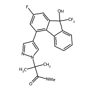 CNC(=O)C(C)(C)n1cc(-c2cc(F)cc3c2-c2ccccc2C3(O)C(F)(F)F)cn1